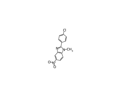 Cn1c(-c2ccc(Cl)cc2)nc2cc([N+](=O)[O-])ccc21